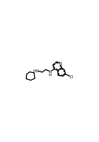 Clc1ccc2c(NCCNC3CCCCC3)ccnc2c1